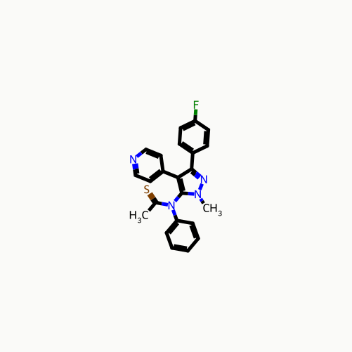 CC(=S)N(c1ccccc1)c1c(-c2ccncc2)c(-c2ccc(F)cc2)nn1C